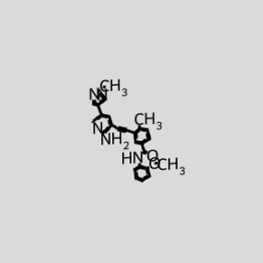 COc1ccccc1NC(=O)c1ccc(C)c(C#Cc2cc(-c3cnn(C)c3)cnc2N)c1